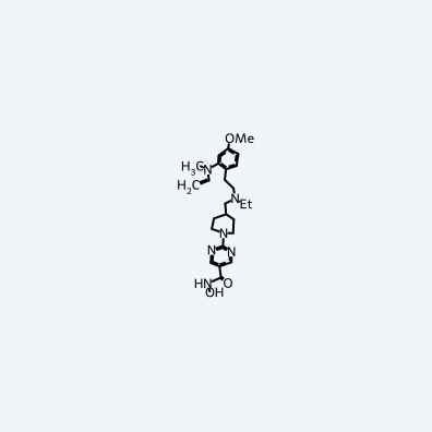 C=CN(C)c1cc(OC)ccc1CCN(CC)CC1CCN(c2ncc(C(=O)NO)cn2)CC1